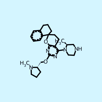 C[C@H]1CNCCN1c1nc(OC[C@@H]2CCCN2C)nc2c1CCC1(CCCc3ccccc31)O2